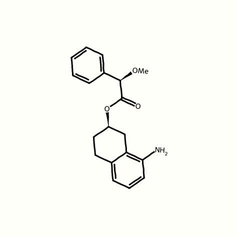 CO[C@@H](C(=O)O[C@@H]1CCc2cccc(N)c2C1)c1ccccc1